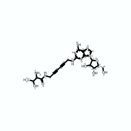 CC(O)C(N)C(=O)NCC#CC#CCNc1nc(S)c2ncn(C3O[C@H](CO)[C@H](O)C3O)c2n1